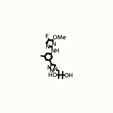 COc1nc(Nc2cc(C)cc(-c3cn(CC(C)(O)C(C)(C)O)nn3)c2)ncc1F